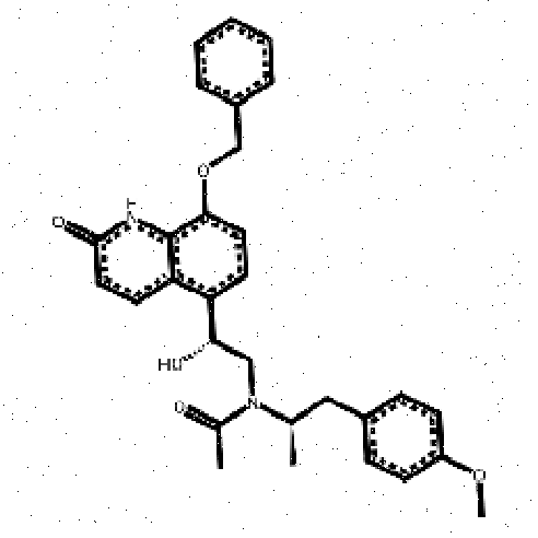 COc1ccc(C[C@@H](C)N(C[C@H](O)c2ccc(OCc3ccccc3)c3[nH]c(=O)ccc23)C(C)=O)cc1